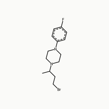 CC(CCBr)N1CCN(c2ccc(F)cc2)CC1